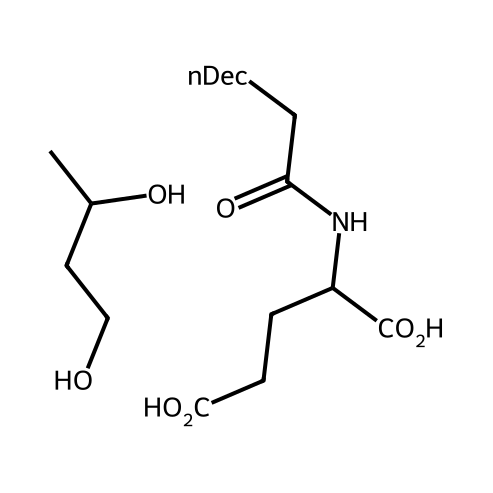 CC(O)CCO.CCCCCCCCCCCC(=O)NC(CCC(=O)O)C(=O)O